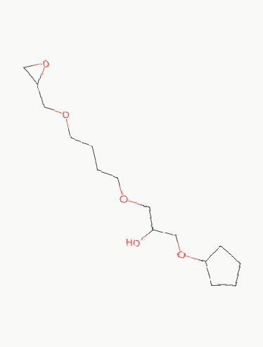 OC(COCCCCOCC1CO1)COC1CCCC1